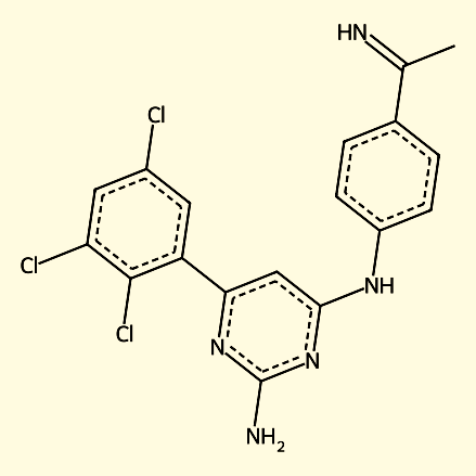 CC(=N)c1ccc(Nc2cc(-c3cc(Cl)cc(Cl)c3Cl)nc(N)n2)cc1